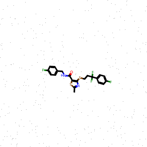 Cc1nc(SCCC(F)(F)c2ccc(F)cc2)c(C(=O)NCc2ccc(F)cc2)s1